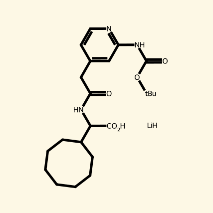 CC(C)(C)OC(=O)Nc1cc(CC(=O)NC(C(=O)O)C2CCCCCCC2)ccn1.[LiH]